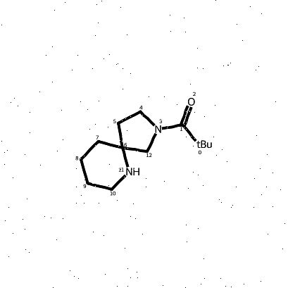 CC(C)(C)C(=O)N1CCC2(CCCCN2)C1